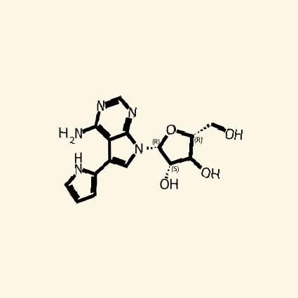 Nc1ncnc2c1c(-c1ccc[nH]1)cn2[C@@H]1O[C@H](CO)C(O)[C@@H]1O